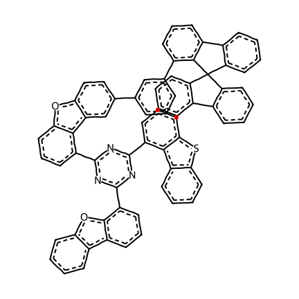 c1cc(-c2ccc3oc4cccc(-c5nc(-c6cccc7c6oc6ccccc67)nc(-c6cccc7sc8ccccc8c67)n5)c4c3c2)cc(-c2cccc3c2C2(c4ccccc4-c4ccccc42)c2ccccc2-3)c1